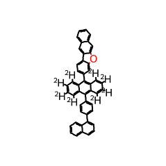 [2H]c1c([2H])c([2H])c2c(-c3ccc4c(c3)oc3cc5ccccc5cc34)c3c([2H])c([2H])c([2H])c([2H])c3c(-c3ccc(-c4cccc5ccccc45)cc3)c2c1[2H]